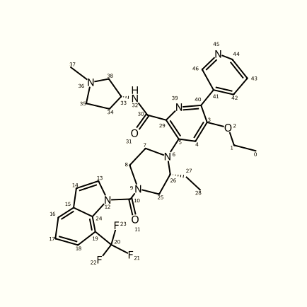 CCOc1cc(N2CCN(C(=O)n3ccc4cccc(C(F)(F)F)c43)C[C@H]2CC)c(C(=O)N[C@@H]2CCN(C)C2)nc1-c1cccnc1